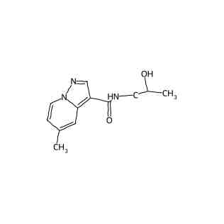 Cc1ccn2ncc(C(=O)NCC(C)O)c2c1